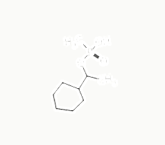 CC(OP(C)(=O)O)C1CCCCC1